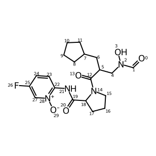 O=CN(O)CC(CC1CCCC1)C(=O)N1CCCC1C(=O)Nc1ccc(F)c[n+]1[O-]